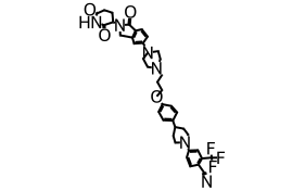 N#Cc1ccc(N2CCC(c3ccc(OCCCN4CCN(c5ccc6c(c5)CN(C5CCC(=O)NC5=O)C6=O)CC4)cc3)CC2)cc1C(F)(F)F